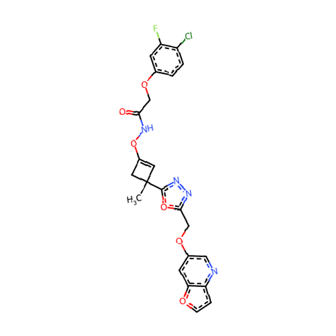 CC1(c2nnc(COc3cnc4ccoc4c3)o2)C=C(ONC(=O)COc2ccc(Cl)c(F)c2)C1